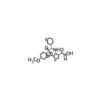 COc1ccc(S(=O)(=O)C(Nc2c(C(=O)NO)csc2Br)c2cccnc2)cc1